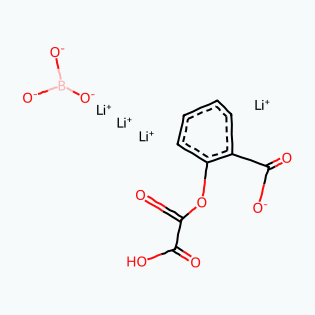 O=C(O)C(=O)Oc1ccccc1C(=O)[O-].[Li+].[Li+].[Li+].[Li+].[O-]B([O-])[O-]